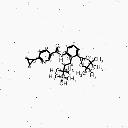 CC1(C)OB(c2cccc(NC(=O)c3ccc(C4CC4)nc3)c2CCC(C)(C)[Si](C)(C)O)OC1(C)C